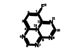 FC1=CC=C2N=CN=C3N=CN=C1N23